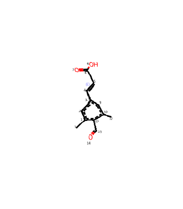 Cc1cc(/C=C/C(=O)O)cc(C)c1C=O